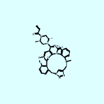 C=CC(=O)N1C[C@H](C)N(c2nc(=O)n3c4nc(c(F)cc24)-c2c(F)cccc2Cn2cc(nn2)CN(C)c2cccc(C(C)C)c2-3)C[C@H]1C